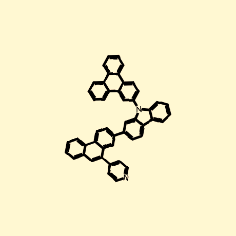 c1ccc2c(c1)cc(-c1ccncc1)c1cc(-c3ccc4c5ccccc5n(-c5ccc6c7ccccc7c7ccccc7c6c5)c4c3)ccc12